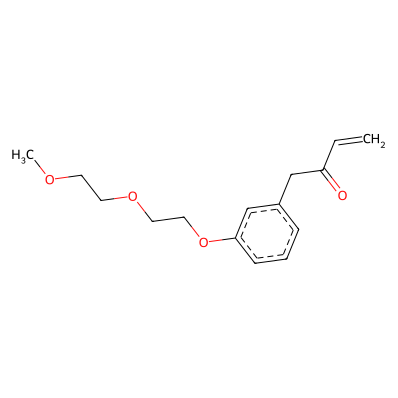 C=CC(=O)Cc1cccc(OCCOCCOC)c1